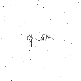 C1=NCCN1.CCN1CCN(CC)C1